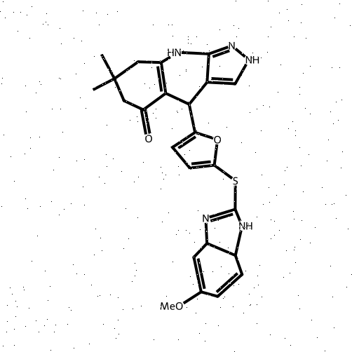 COC1=CC2N=C(Sc3ccc(C4C5=C(CC(C)(C)CC5=O)Nc5n[nH]cc54)o3)NC2C=C1